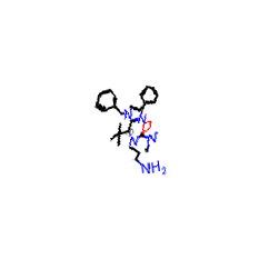 CN(C)C(=O)N(CCCN)[C@@H](c1nc(-c2ccccc2)cn1Cc1ccccc1)C(C)(C)C